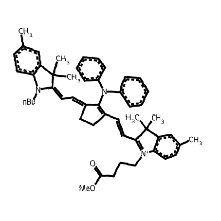 CCCCN1/C(=C/C=C2\CCC(/C=C/C3=[N+](CCCC(=O)OC)c4ccc(C)cc4C3(C)C)=C2N(c2ccccc2)c2ccccc2)C(C)(C)c2cc(C)ccc21